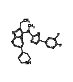 CCc1nc2ccc(C3=CCNCC3)cn2c1N(C)c1nc(-c2ccc(F)c(F)c2)cs1